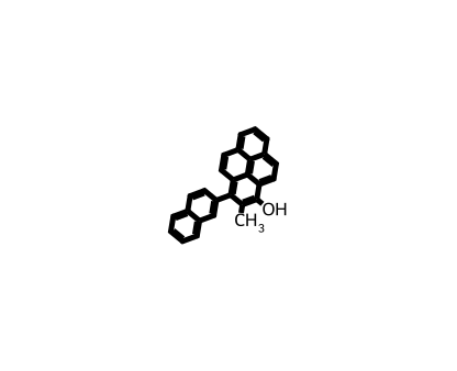 Cc1c(O)c2ccc3cccc4ccc(c1-c1ccc5ccccc5c1)c2c34